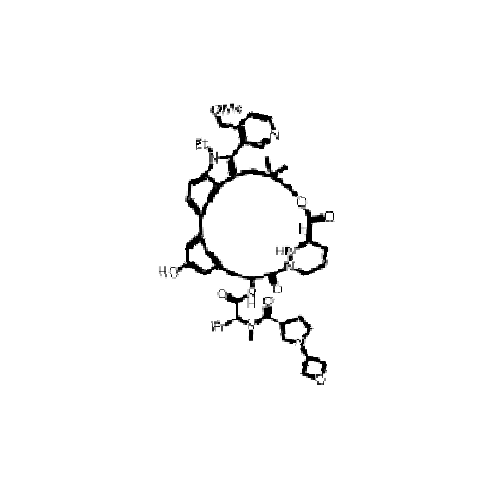 CCn1c(-c2cnccc2COC)c2c3cc(ccc31)-c1cc(O)cc(c1)C[C@H](NC(=O)[C@H](C(C)C)N(C)C(=O)[C@H]1CCN(C3COC3)C1)C(=O)N1CCC[C@H](N1)C(=O)OCC(C)(C)C2